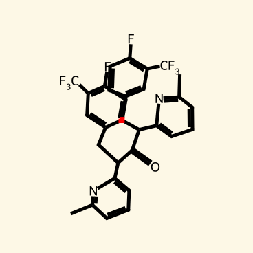 Cc1cccc(C(Cc2ccc(F)c(C(F)(F)F)c2)C(=O)C(Cc2ccc(F)c(C(F)(F)F)c2)c2cccc(C)n2)n1